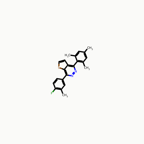 Cc1cc(C)c(-c2nnc(-c3ccc(F)c(C)c3)c3sccc23)c(C)c1